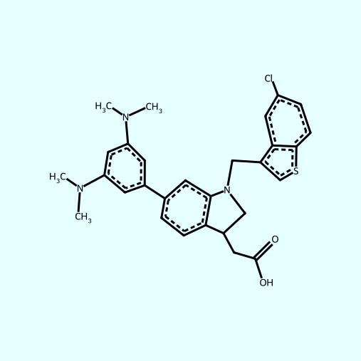 CN(C)c1cc(-c2ccc3c(c2)N(Cc2csc4ccc(Cl)cc24)CC3CC(=O)O)cc(N(C)C)c1